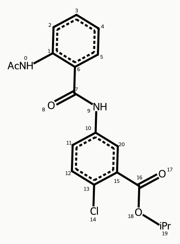 CC(=O)Nc1ccccc1C(=O)Nc1ccc(Cl)c(C(=O)OC(C)C)c1